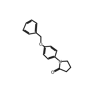 O=C1CCCN1c1ccc(OCc2ccccc2)cc1